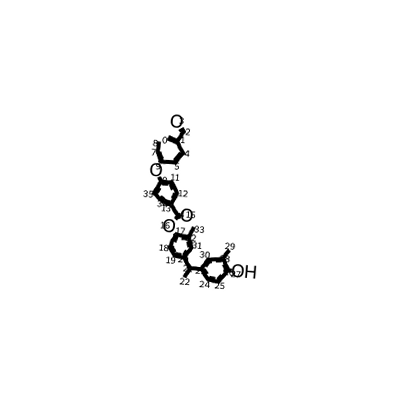 C=C(C=O)/C=C\C(=C/C)Oc1ccc(C(=O)Oc2ccc(C(C)c3ccc(O)c(C)c3)cc2C)cc1